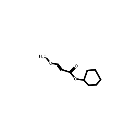 COC=CC(=O)OC1CCCCC1